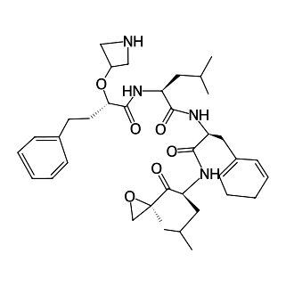 CC(C)C[C@H](NC(=O)[C@H](CCc1ccccc1)OC1CNC1)C(=O)N[C@@H](CC1=CCCC=C1)C(=O)N[C@@H](CC(C)C)C(=O)[C@@]1(C)CO1